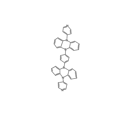 c1ccc2c(c1)B(c1ccc(B3c4ccccc4N(c4ccncc4)c4ccccc43)cc1)c1ccccc1N2c1ccncc1